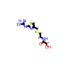 CCC(N)=Nc1nc(CSCCNC(=O)CO)cs1